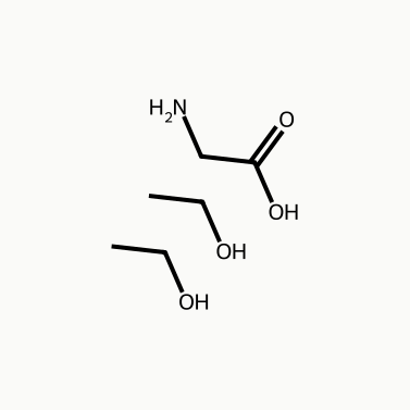 CCO.CCO.NCC(=O)O